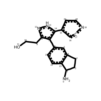 NC1CCc2cc(-c3c(CCO)n[nH]c3-c3ccncc3)ccc21